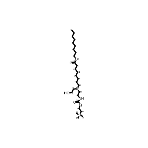 CCCCCCCCCOC(=O)CCCCCCCN(CCO)CCNC(=O)OCC[Si](C)(C)C